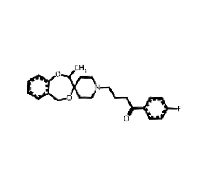 CC1Oc2ccccc2COC12CCN(CCCC(=O)c1ccc(F)cc1)CC2